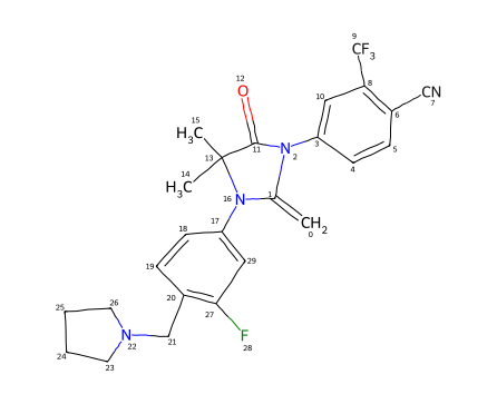 C=C1N(c2ccc(C#N)c(C(F)(F)F)c2)C(=O)C(C)(C)N1c1ccc(CN2CCCC2)c(F)c1